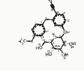 CCc1ccc(Cc2cc(OC3O[C@H](CO)[C@@H](O)[C@H](O)[C@H]3O)ccc2C#N)cc1